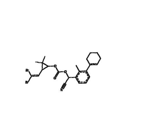 Cc1c(C2=CCCCC2)cccc1C(C#N)OC(=O)OC1C(C=C(Br)Br)C1(C)C